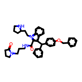 O=C(NCCCN1CCCC1=O)c1c(C(c2ccccc2)c2ccc(OCc3ccccc3)cc2)c2ccccc2n1CCC1CCCN1